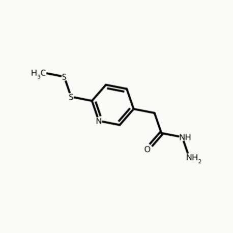 CSSc1ccc(CC(=O)NN)cn1